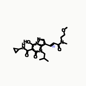 COCCN(C)C(=O)/C=C/c1cnn2c(O)c(C(=O)NC3CC3)c(=O)n(CC(C)C)c12